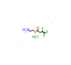 Cl.NCCSC(=O)CC(F)=C(F)F